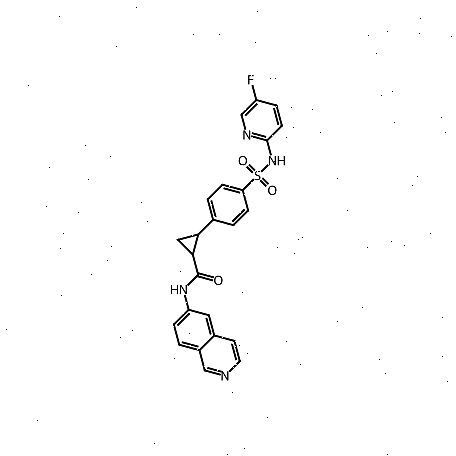 O=C(Nc1ccc2cnccc2c1)C1CC1c1ccc(S(=O)(=O)Nc2ccc(F)cn2)cc1